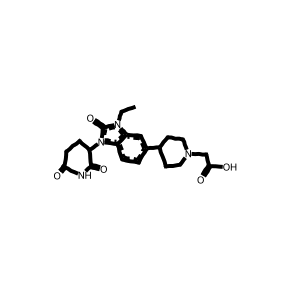 CCn1c(=O)n(C2CCC(=O)NC2=O)c2ccc(C3CCN(CC(=O)O)CC3)cc21